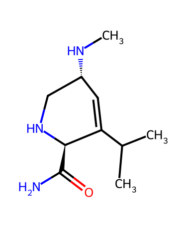 CN[C@@H]1C=C(C(C)C)[C@@H](C(N)=O)NC1